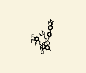 CCN(CC)CCN(Cc1ccc(-c2ccc(C(F)(F)F)cc2)cc1)C(=O)Cn1c(CCc2ccc(F)c(F)c2F)nc(=O)c2cc(C)ccc21